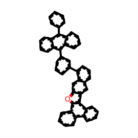 c1ccc(-c2c3ccccc3c(-c3cccc(-c4cccc5cc6c(cc45)oc4c5ccccc5c5ccccc5c64)c3)c3ccccc23)cc1